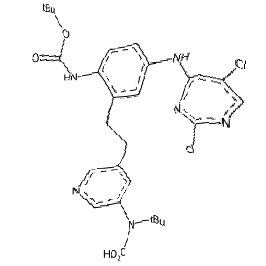 CC(C)(C)OC(=O)Nc1ccc(Nc2nc(Cl)ncc2Cl)cc1CCc1cncc(N(C(=O)O)C(C)(C)C)c1